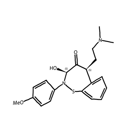 COc1ccc(N2Sc3ccccc3[C@H](CCN(C)C)C(=O)[C@@H]2O)cc1